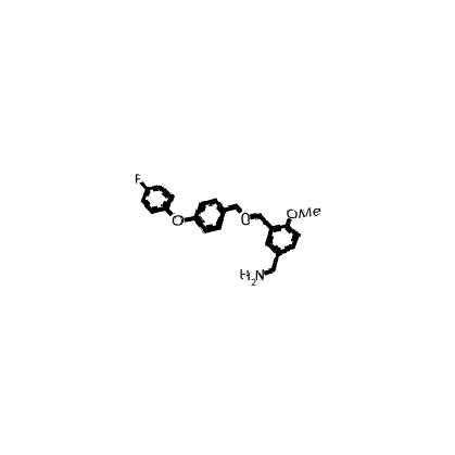 COc1ccc(CN)cc1COCc1ccc(Oc2ccc(F)cc2)cc1